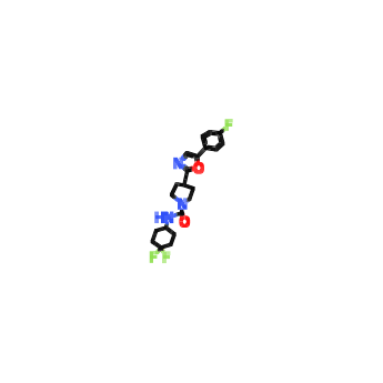 O=C(NC1CCC(F)(F)CC1)N1CCC(c2ncc(-c3ccc(F)cc3)o2)CC1